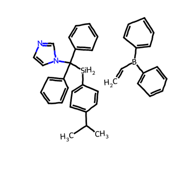 C=CB(c1ccccc1)c1ccccc1.CC(C)c1ccc([SiH2]C(c2ccccc2)(c2ccccc2)n2ccnc2)cc1